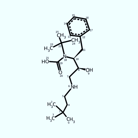 CC(C)(C)CCNC[C@H](O)[C@H](Cc1ccccc1)N(C(=O)O)C(C)(C)C